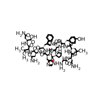 CC(C)C[C@H](NC(=O)[C@H](CC(N)=O)NC(=O)CN)C(=O)N[C@@H](Cc1ccc(O)cc1)C(=O)N[C@@H](CO)C(=O)N1CCC[C@H]1C(=O)N[C@@H](Cc1c[nH]cn1)C(=O)N[C@@H](Cc1c[nH]c2ccccc12)C(=O)N[C@@H](CC(N)=O)C(=O)N[C@H](C(=O)N[C@@H](CC(N)=O)C(=O)O)C(C)C